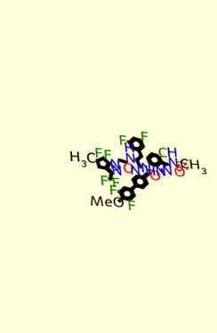 COc1c(F)cc(-c2ccc3c(=O)n(-c4ccc(Cl)c5c(N[S+](C)[O-])n[nH]c45)c(C(Cc4cc(F)cc(F)c4)NC(=O)Cn4nc(C(F)F)c5c4C(F)(F)C(C)C5)nc3c2)cc1F